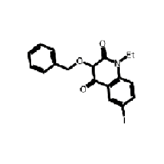 CCN1C(=O)C(OCc2ccccc2)C(=O)c2cc(I)ccc21